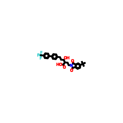 CC(C)(C)c1ccc2c(c1)C(=O)N(CCC(C(=O)O)[C@H](O)CCc1ccc(-c3ccc(C(F)(F)F)cc3)cc1)C2=O